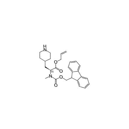 C=CCOC(=O)[C@H](CC1CCNCC1)N(C)C(=O)OCC1c2ccccc2-c2ccccc21